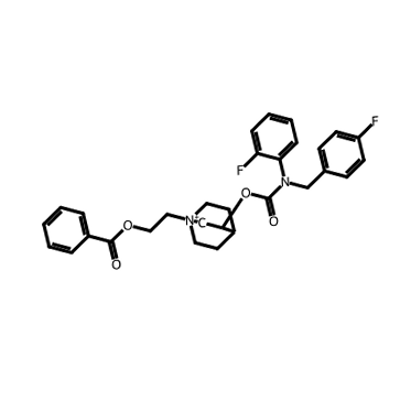 O=C(OCC[N+]12CCC(CC1)C(OC(=O)N(Cc1ccc(F)cc1)c1ccccc1F)C2)c1ccccc1